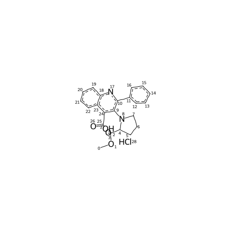 COC(=O)C1CCCN1c1c(-c2ccccc2)nc2ccccc2c1C(=O)O.Cl